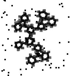 c1ccc(-c2cc(-c3ccc4c5ccccc5n(-c5ccccc5)c4c3)nc(-c3cc(-c4ccc5c6ccccc6c6ccccc6c5c4)cc(-n4c5ccccc5c5ccccc54)c3)n2)cc1